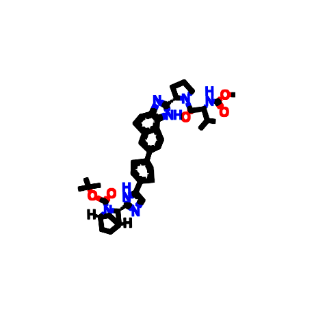 COC(=O)N[C@H](C(=O)N1CCC[C@H]1c1nc2ccc3cc(-c4ccc(-c5cnc([C@@H]6[C@H]7CC[C@H](C7)N6C(=O)OC(C)(C)C)[nH]5)cc4)ccc3c2[nH]1)C(C)C